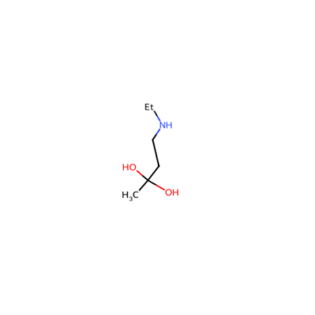 CCNCCC(C)(O)O